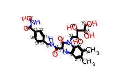 Cc1cc2nc(C(=O)NCc3ccc(C(=O)NO)cc3)c(=O)n(CC(O)C(O)C(O)CO)c2cc1C